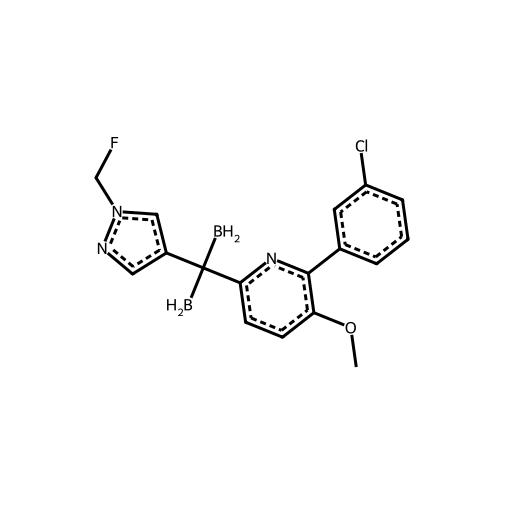 BC(B)(c1cnn(CF)c1)c1ccc(OC)c(-c2cccc(Cl)c2)n1